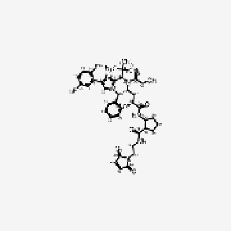 CC(C)(C)[C@H](c1nc(-c2cc(F)ccc2F)cn1Cc1ccccc1)N(CC[C@H](N)C(=O)NC1CCCC1C(=O)NCCN1C(=O)C=CC1=O)C(=O)CO